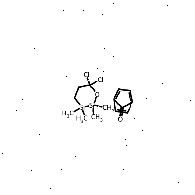 C[Si]1(C)CCC(Cl)(Cl)O[Si]1(C)C.O=C1C2=CC=C1C=C2